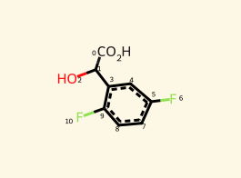 O=C(O)C(O)c1cc(F)ccc1F